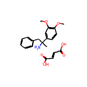 COc1ccc(C(C)(N)Cc2ccccc2)cc1OC.O=C(O)C=CC(=O)O